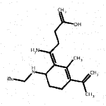 C=C(O)CC/C(N)=C1\C(C)=C(C(=C)C)CCC1NCC(C)CC